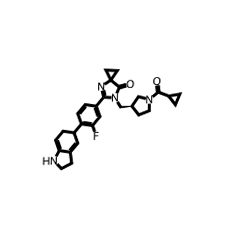 O=C(C1CC1)N1CC[C@@H](CN2C(=O)C3(CC3)N=C2c2ccc(C3C=C4CCNC4=CC3)c(F)c2)C1